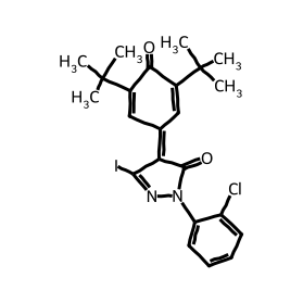 CC(C)(C)C1=CC(=C2C(=O)N(c3ccccc3Cl)N=C2I)C=C(C(C)(C)C)C1=O